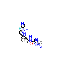 CCn1ncc(C(=O)NCC#Cc2nn3c(N[C@@H]4CCN(C)C[C@@H]4F)cccc3c2CC(F)(F)F)c1N